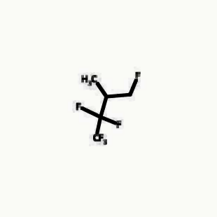 CC(CF)C(F)(F)C(F)(F)F